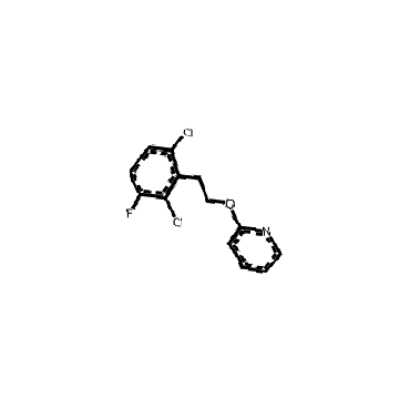 Fc1ccc(Cl)c(CCOc2ccccn2)c1Cl